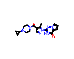 Cc1c(C(=O)N2CCN(C3CC3)CC2)cnn1-c1nn2cccc2c(=O)[nH]1